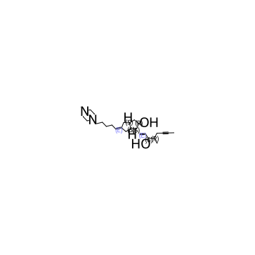 CC#CC[C@@H](C)[C@H](O)/C=C/[C@@H]1[C@H]2C/C(=C/CCCCN3CCN(C)CC3)C[C@H]2C[C@H]1O